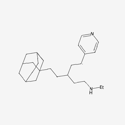 CCNCCC(C[CH]c1ccncc1)CCC12CC3CC(CC(C3)C1)C2